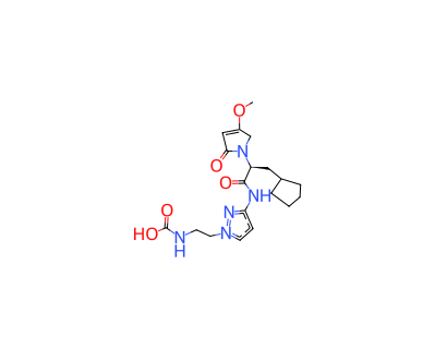 COC1=CC(=O)N([C@@H](CC2CCCC2)C(=O)Nc2ccn(CCNC(=O)O)n2)C1